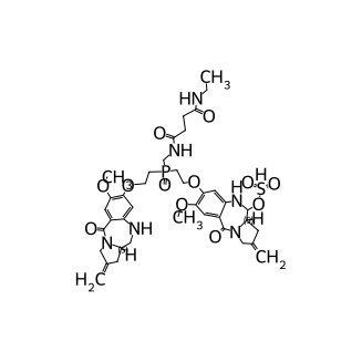 C=C1C[C@H]2CNc3cc(OCCP(=O)(CCOc4cc5c(cc4OC)C(=O)N4CC(=C)C[C@H]4C(O[SH](=O)=O)N5)CNC(=O)CCC(=O)NCC)c(OC)cc3C(=O)N2C1